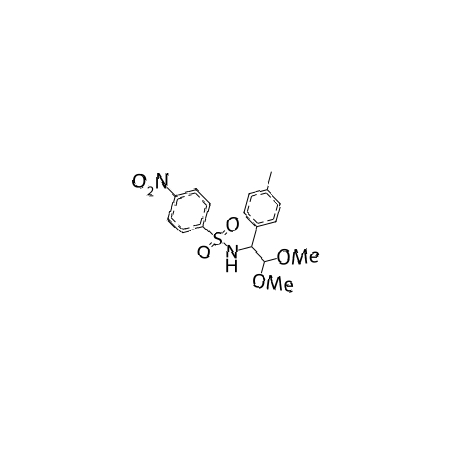 COC(OC)C(NS(=O)(=O)c1ccc([N+](=O)[O-])cc1)c1ccc(C)cc1